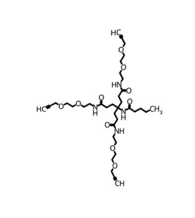 C#CCOCCOCCNC(=O)CCC(CCC(=O)NCCOCCOCC#C)(CCC(=O)NCCOCCOCC#C)NC(=O)CCCC